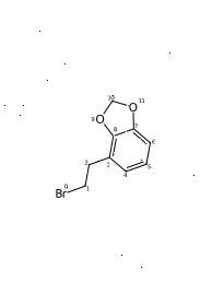 BrCCc1cccc2c1OCO2